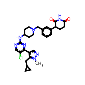 Cn1ncc(-c2nc(NC3CCN(Cc4cccc(C5CCC(=O)NC5=O)c4)CC3)ncc2Cl)c1CC1CC1